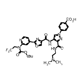 CN(C)CCNC(=O)c1nn(-c2ccc(C(=O)O)cc2)cc1NC(=O)c1coc(-c2ccnc(N(CC(F)(F)F)C(=O)OC(C)(C)C)c2)n1